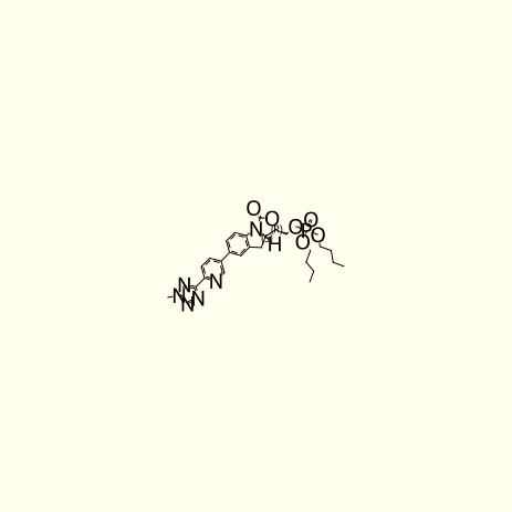 CCCCOP(=O)(OCCCC)OC[C@@H]1OC(=O)N2c3ccc(-c4ccc(-c5nnn(C)n5)nc4)cc3C[C@@H]12